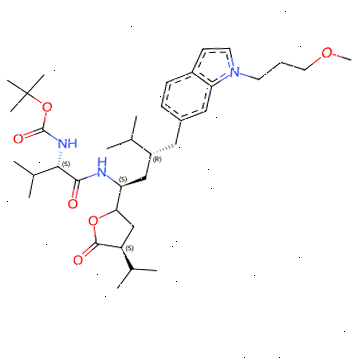 COCCCn1ccc2ccc(C[C@H](C[C@H](NC(=O)[C@@H](NC(=O)OC(C)(C)C)C(C)C)C3C[C@@H](C(C)C)C(=O)O3)C(C)C)cc21